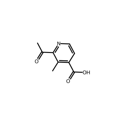 CC(=O)c1nccc(C(=O)O)c1C